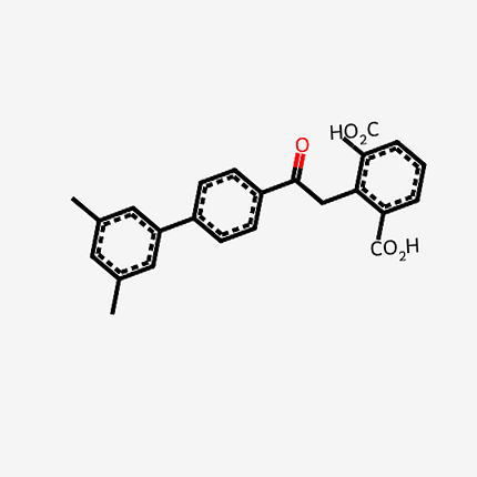 Cc1cc(C)cc(-c2ccc(C(=O)Cc3c(C(=O)O)cccc3C(=O)O)cc2)c1